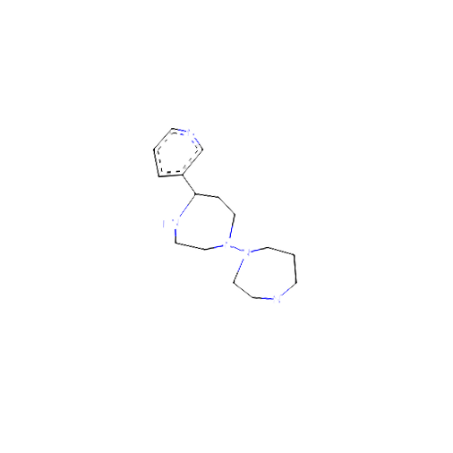 c1cncc(C2CCN(N3CCCNCC3)CCN2)c1